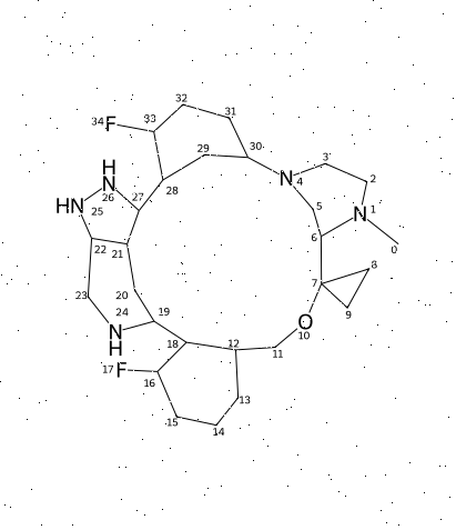 CN1CCN2CC1C1(CC1)OCC1CCCC(F)C1C1CC3C(CN1)NNC3C1CC2CCC1F